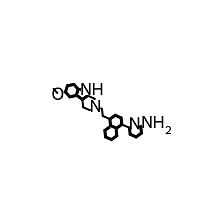 COc1ccc2[nH]c3c(c2c1)CCN(CCc1ccc(-c2cccc(N)n2)c2ccccc12)C3